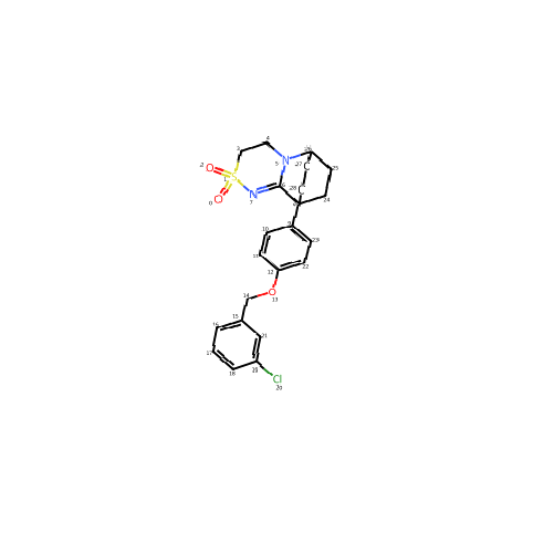 O=S1(=O)CCN2C(=N1)C1(c3ccc(OCc4cccc(Cl)c4)cc3)CCC2CC1